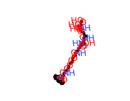 C[C@H](CCCOP(=O)(O)NC(CCC(=O)O)C(=O)O)NC(=O)CC[C@H](NC(=O)CCCCCNC(=O)CCOCCOCCOCCOCCNC(=O)CCC(=O)N1Cc2ccccc2C#Cc2ccccc21)C(=O)O